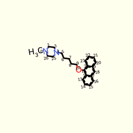 CN1CCN(CCCCCOc2c3ccccc3cc3ccccc23)CC1